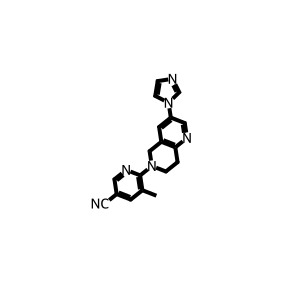 Cc1cc(C#N)cnc1N1CCc2ncc(-n3ccnc3)cc2C1